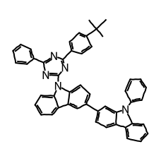 CC(C)(C)c1ccc(-c2nc(-c3ccccc3)nc(-n3c4ccccc4c4cc(-c5ccc6c7ccccc7n(-c7ccccc7)c6c5)ccc43)n2)cc1